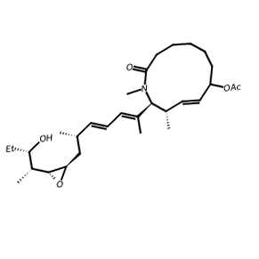 CC[C@H](O)[C@@H](C)[C@H]1O[C@@H]1C[C@H](C)/C=C/C=C(\C)[C@@H]1[C@@H](C)/C=C/C(OC(C)=O)CCCCCC(=O)N1C